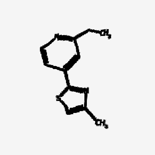 CCc1cc(-c2nc(C)cs2)ccn1